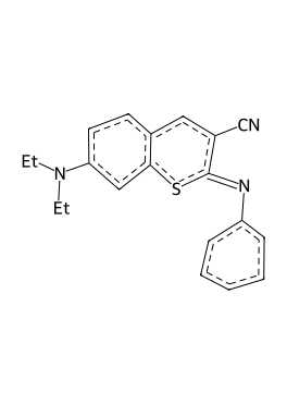 CCN(CC)c1ccc2cc(C#N)c(=Nc3ccccc3)sc2c1